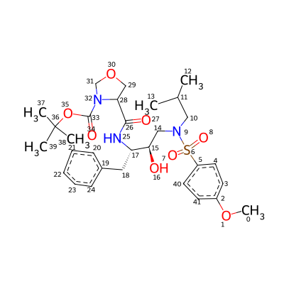 COc1ccc(S(=O)(=O)N(CC(C)C)C[C@@H](O)[C@H](Cc2ccccc2)NC(=O)C2COCN2C(=O)OC(C)(C)C)cc1